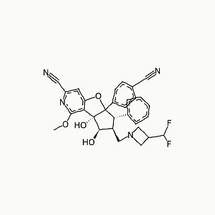 COc1nc(C#N)cc2c1[C@]1(O)[C@H](O)[C@H](CN3CC(C(F)F)C3)[C@@H](c3ccccc3)C1(c1ccc(C#N)cc1)O2